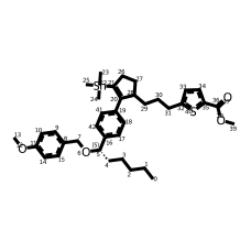 CCCCC[C@H](OCc1ccc(OC)cc1)c1ccc(C2=[C]([Sn]([CH3])([CH3])[CH3])CCC2CCCc2ccc(C(=O)OC)s2)cc1